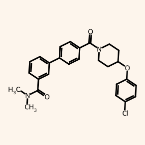 CN(C)C(=O)c1cccc(-c2ccc(C(=O)N3CCC(Oc4ccc(Cl)cc4)CC3)cc2)c1